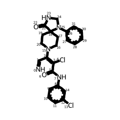 N=C/C(=C(/Cl)C(=O)Nc1cccc(Cl)c1)N1CCC2(CC1)C(=O)NCN2c1ccccc1